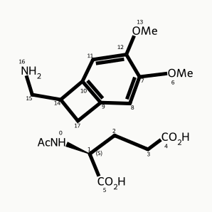 CC(=O)N[C@@H](CCC(=O)O)C(=O)O.COc1cc2c(cc1OC)C(CN)C2